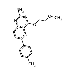 COCCOc1nc(N)nc2ccc(-c3ccc(C)cc3)nc12